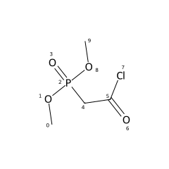 COP(=O)(CC(=O)Cl)OC